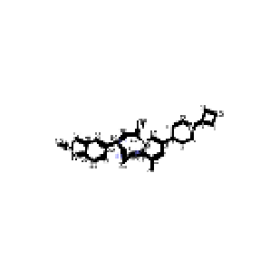 CC1=CC(C2CCN(C3CCC3)CC2)=CN2C(=O)\C=C(c3ccc4nn(C)cc4c3)/C=C/C=C\12